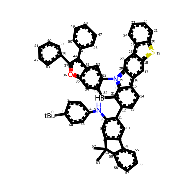 CC(C)(C)c1ccc(Nc2cc3c(cc2-c2ccc4c5cc6sc7ccccc7c6cc5n5c4c2Bc2cc4oc(-c6ccccc6)c(-c6ccccc6)c4cc2-5)-c2ccccc2C3(C)C)cc1